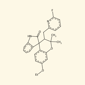 CCOc1ccc2c(c1)OC(C)(C)C(Cc1cccc(F)n1)C21C(=O)Nc2ccccc21